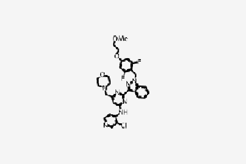 COCCOc1cc(F)c(Cn2nc(-c3nc(CN4CCOCC4)cc(Nc4ccncc4Cl)n3)c3ccccc32)c(F)c1